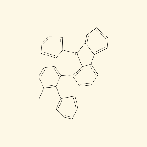 Cc1cccc(-c2cccc3c4ccccc4n(-c4ccccc4)c23)c1-c1ccccc1